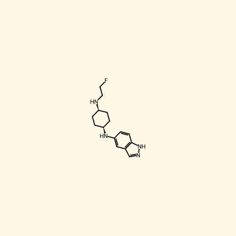 FCCN[C@H]1CC[C@@H](Nc2ccc3[nH]ncc3c2)CC1